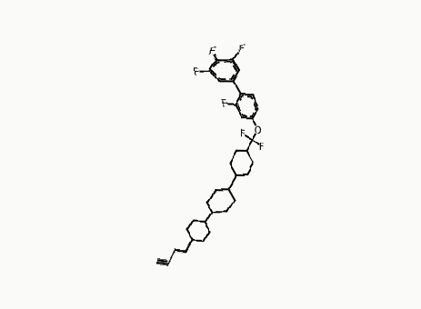 C=CCCC1CCC(C2CCC(C3CCC(C(F)(F)Oc4ccc(-c5cc(F)c(F)c(F)c5)c(F)c4)CC3)CC2)CC1